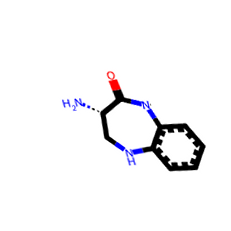 N[C@H]1CNc2ccccc2[N]C1=O